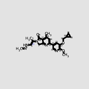 C=NN/C=C(\C)N1Cc2nc(-c3cnc(OC)c(OCC4CC4)c3)cc(C)c2C1=O